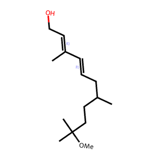 COC(C)(C)CCC(C)C/C=C/C(C)=C/CO